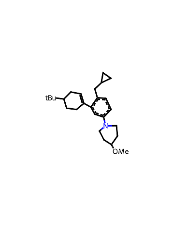 COC1CCN(c2ccc(CC3CC3)c(C3=CCC(C(C)(C)C)CC3)c2)CC1